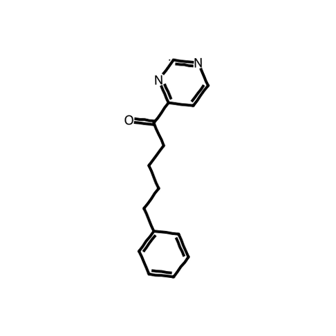 O=C(CCCCc1ccccc1)c1ccn[c]n1